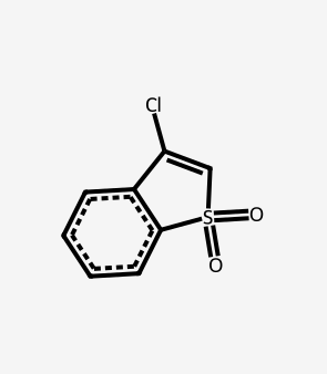 O=S1(=O)C=C(Cl)c2ccccc21